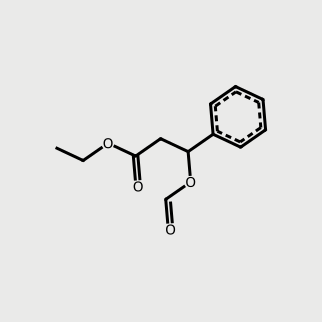 CCOC(=O)CC(OC=O)c1ccccc1